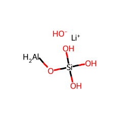 O[Si](O)(O)[O][AlH2].[Li+].[OH-]